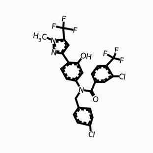 Cn1nc(-c2ccc(N(Cc3ccc(Cl)cc3)C(=O)c3ccc(C(F)(F)F)c(Cl)c3)cc2O)cc1C(F)(F)F